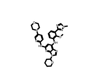 COc1c(Nc2cc(Nc3ccc(N4CCOCC4)cn3)nc3c2ncn3C2CCCCO2)cccc1-c1ncn(C)n1